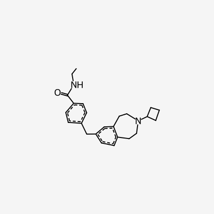 CCNC(=O)c1ccc(Cc2ccc3c(c2)CCN(C2CCC2)CC3)cc1